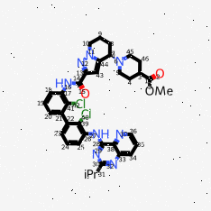 COC(=O)C1CCN([C@H]2CCCn3nc(C(=O)Nc4cccc(-c5cccc(Nc6nc(C(C)C)nc7cccnc67)c5Cl)c4Cl)cc32)CC1